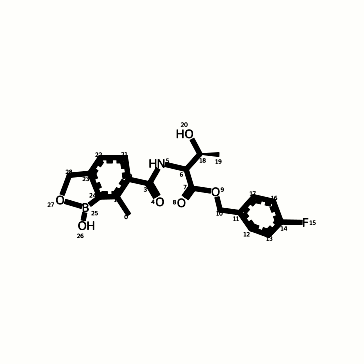 Cc1c(C(=O)NC(C(=O)OCc2ccc(F)cc2)[C@H](C)O)ccc2c1B(O)OC2